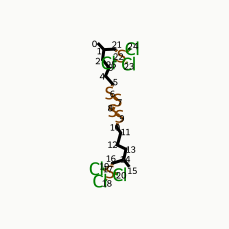 CC(CCCCSSSSCCCCC(C)CS(Cl)(Cl)Cl)CS(Cl)(Cl)Cl